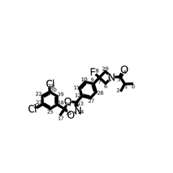 CC(C)C(=O)N1CC(F)(c2ccc(C3=NOC(C)(c4cc(Cl)cc(Cl)c4)O3)cc2)C1